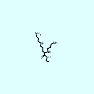 CCNC(=O)C(CCCNCCCN)NCCCN